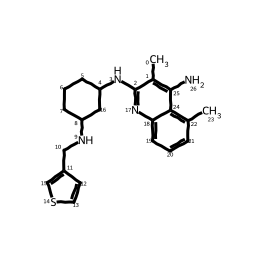 Cc1c(NC2CCCC(NCc3ccsc3)C2)nc2cccc(C)c2c1N